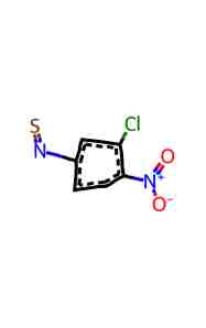 O=[N+]([O-])c1ccc(N=S)cc1Cl